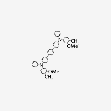 COc1cc(N(c2ccccc2)c2ccc(-c3ccc(-c4ccc(N(c5ccccc5)c5ccc(C)c(OC)c5)cc4)cc3)cc2)ccc1C